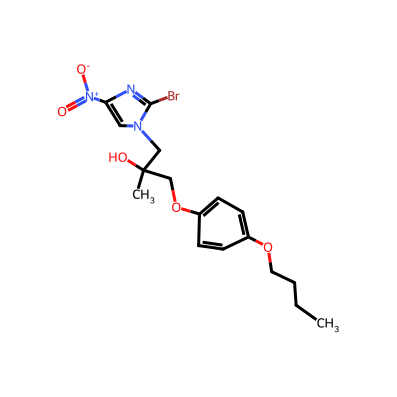 CCCCOc1ccc(OCC(C)(O)Cn2cc([N+](=O)[O-])nc2Br)cc1